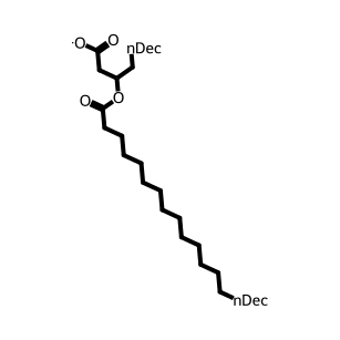 CCCCCCCCCCCCCCCCCCCCCCCC(=O)OC(CCCCCCCCCCC)CC([O])=O